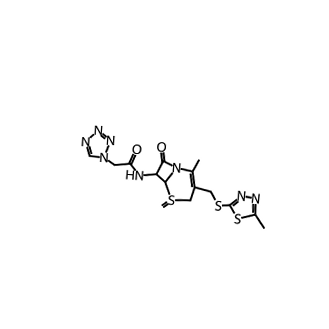 C=S1CC(CSc2nnc(C)s2)=C(C)N2C(=O)C(NC(=O)Cn3cnnn3)C21